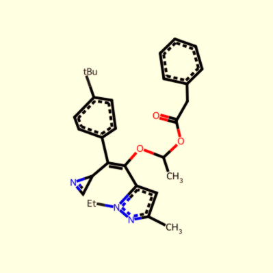 CCn1nc(C)cc1/C(OC(C)OC(=O)Cc1ccccc1)=C(/c1ccc(C(C)(C)C)cc1)C1C=N1